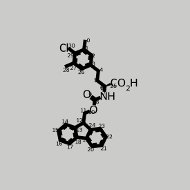 Cc1cc(CC[C@H](NC(=O)OCC2c3ccccc3-c3ccccc32)C(=O)O)cc(C)c1Cl